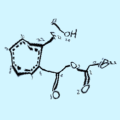 CCC(C)C(=O)OC(=O)c1ccccc1F.CO